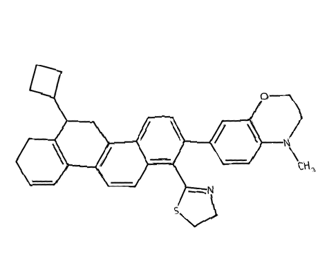 CN1CCOc2cc(-c3ccc4c5c(ccc4c3C3=NCCS3)C3=C(CCC=C3)C(C3CCC3)C5)ccc21